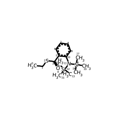 CCSC(=O)c1ccccc1N([Si](C)(C)C)[Si](C)(C)C